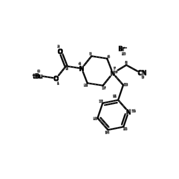 CC(C)(C)OC(=O)N1CC[N+](CC#N)(Cc2ccccn2)CC1.[Br-]